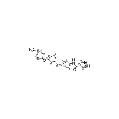 O=C(NC1CC2CC1C/C2=C\c1cccc(Oc2ccc(C(F)(F)F)cn2)c1)c1cn[nH]c1